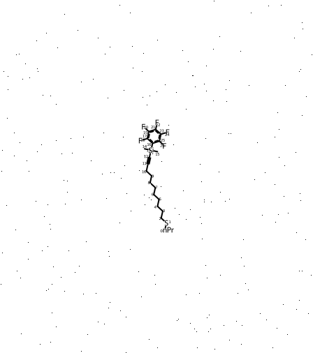 CCCSCCCCCCCCCC#C[Si](C)(C)c1c(F)c(F)c(F)c(F)c1F